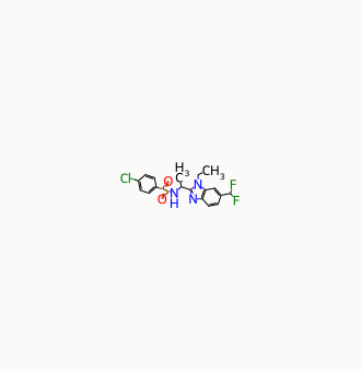 CCn1c(C(C)NS(=O)(=O)c2ccc(Cl)cc2)nc2ccc(C(F)F)cc21